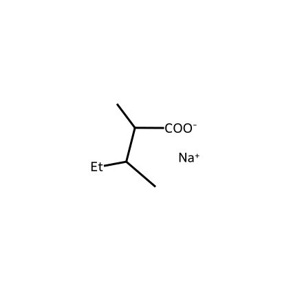 CCC(C)C(C)C(=O)[O-].[Na+]